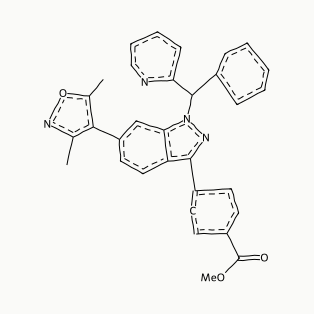 COC(=O)c1ccc(-c2nn(C(c3ccccc3)c3ccccn3)c3cc(-c4c(C)noc4C)ccc23)cc1